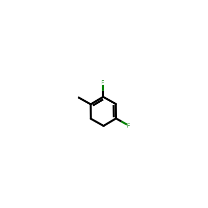 CC1=C(F)C=C(F)CC1